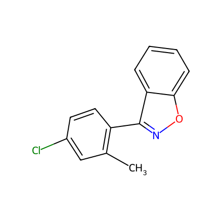 Cc1cc(Cl)ccc1-c1noc2ccccc12